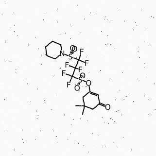 CC1(C)CC(=O)C=C(OS(=O)(=O)C(F)(F)C(F)(F)C(F)(F)S(=O)(=O)N2CCCCC2)C1